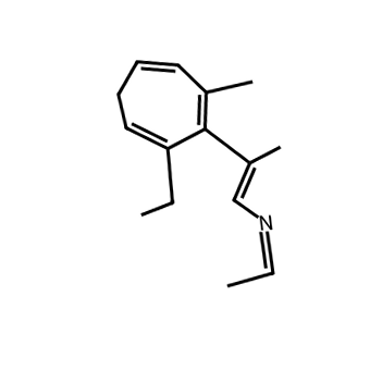 C/C=N\C=C(/C)C1=C(C)C=CCC=C1CC